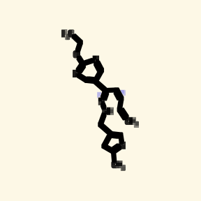 C=C/C=C\C(=N/NCC1=CN=C(C)C1)c1cnc(OCC(F)(F)F)nc1